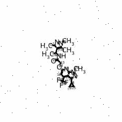 Cc1nn(C)c(C)c1C(C)NC(=O)COc1cc(C(F)(F)F)c2c(C3CC3)nn(C)c2n1